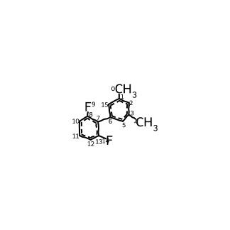 Cc1[c]c(C)cc(-c2c(F)cccc2F)c1